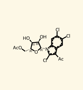 CC(=O)OC[C@H]1O[C@@H](n2c(Cl)c(C(C)=O)c3cc(Cl)c(Cl)cc32)[C@H](O)[C@@H]1O